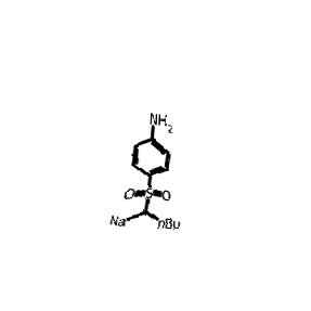 CCCC[CH]([Na])S(=O)(=O)c1ccc(N)cc1